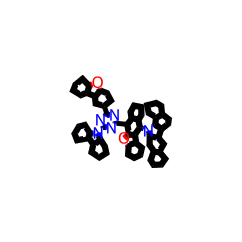 c1ccc2cc3c(cc2c1)c1ccc2ccccc2c1n3-c1c2ccccc2c(-c2nc(-c3ccc4oc5ccccc5c4c3)nc(-n3c4ccccc4c4ccccc43)n2)c2oc3ccccc3c12